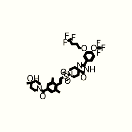 Cc1cc(C(=O)N2CCC(C)(O)CC2)cc(C)c1/C=C/S(=O)(=O)N1CCC2(CC1)N=C(c1ccc(OC(F)(F)F)c(OCCCC(F)(F)F)c1)NC2=O